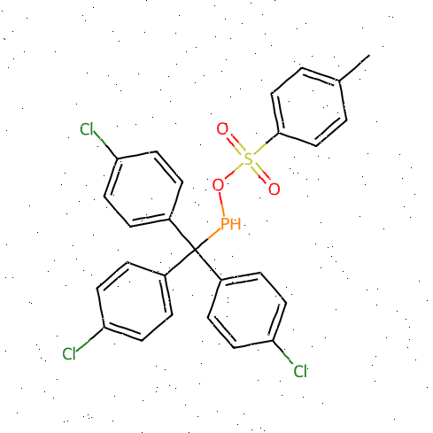 Cc1ccc(S(=O)(=O)OPC(c2ccc(Cl)cc2)(c2ccc(Cl)cc2)c2ccc(Cl)cc2)cc1